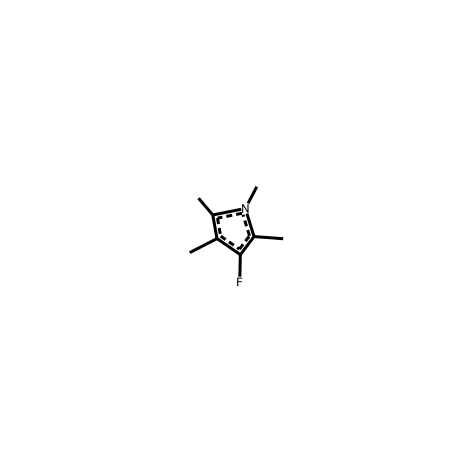 Cc1c(F)c(C)n(C)c1C